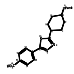 CCCCCC1CCC(c2nnc(-c3ccc(C(=O)O)cc3)s2)CC1